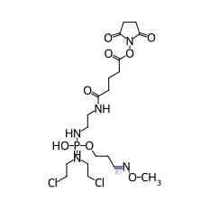 CO/N=C/CCO[PH](O)(NCCNC(=O)CCCC(=O)ON1C(=O)CCC1=O)N(CCCl)CCCl